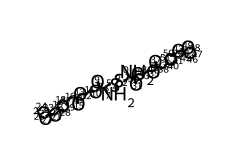 NC(CSSCC(N)C(=O)OCCOC(=O)Cc1ccc(OC2CCCCO2)cc1)C(=O)OCCOC(=O)Cc1ccc(OC2CCCCO2)cc1